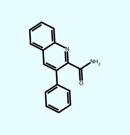 NC(=O)c1nc2ccccc2cc1-c1ccccc1